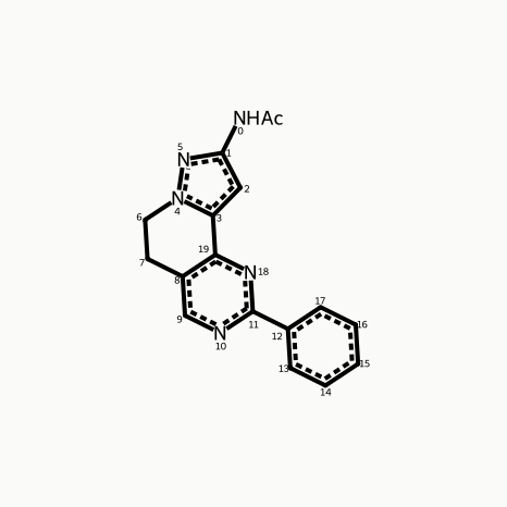 CC(=O)Nc1cc2n(n1)CCc1cnc(-c3ccccc3)nc1-2